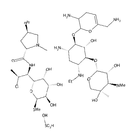 CCC[C@@H]1C[C@@H](C(=O)N[C@@H]([C@H]2O[C@H](SC)[C@H](O)[C@@H](O)[C@H]2O)[C@H](C)Cl)N(C)C1.CCN[C@@H]1C[C@H](N)[C@@H](OC2OC(CN)=CCC2N)[C@H](O)[C@H]1O[C@H]1OC[C@](C)(O)[C@H](NC)[C@H]1O.O=S(=O)(O)O